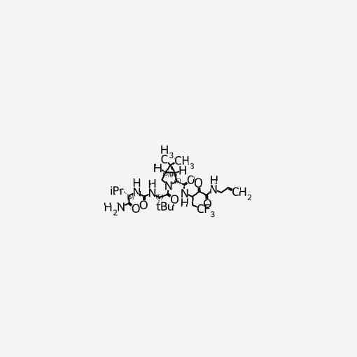 C=CCNC(=O)C(=O)C(CC(F)(F)F)NC(=O)[C@@H]1[C@@H]2[C@H](CN1C(=O)[C@@H](NC(=O)N[C@H](C(N)=O)C(C)C)C(C)(C)C)C2(C)C